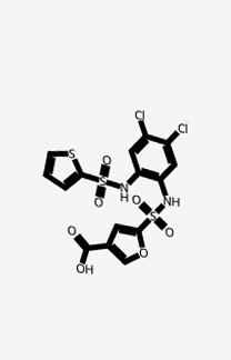 O=C(O)c1coc(S(=O)(=O)Nc2cc(Cl)c(Cl)cc2NS(=O)(=O)c2cccs2)c1